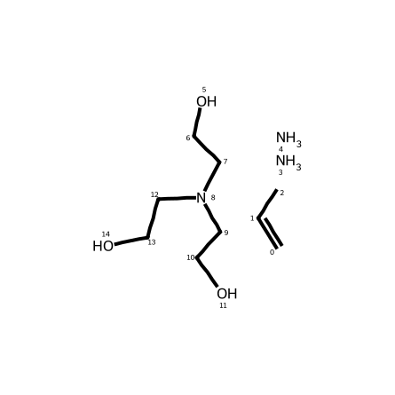 C=CC.N.N.OCCN(CCO)CCO